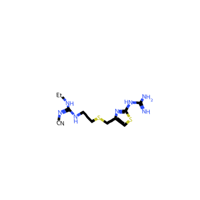 CCN/C(=N/C#N)NCCSCc1csc(NC(=N)N)n1